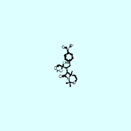 CC1(C)OCCC2(C)C(C(Cc3ccc([N+](=O)[O-])cc3)C(O)(O)C=O)C(=O)N12